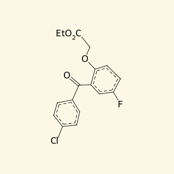 CCOC(=O)COc1ccc(F)cc1C(=O)c1ccc(Cl)cc1